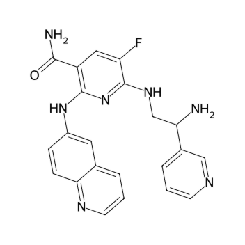 NC(=O)c1cc(F)c(NCC(N)c2cccnc2)nc1Nc1ccc2ncccc2c1